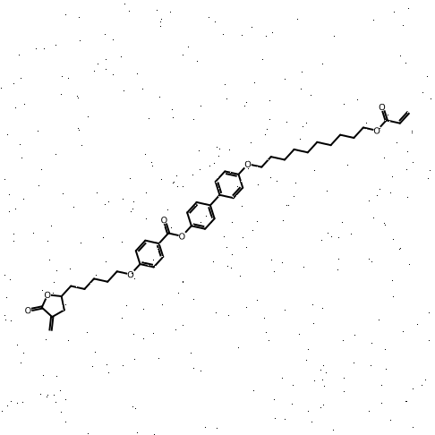 C=CC(=O)OCCCCCCCCCCOc1ccc(-c2ccc(OC(=O)c3ccc(OCCCCCC4CC(=C)C(=O)O4)cc3)cc2)cc1